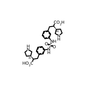 O=C(O)C(Cc1cccc(NS(=O)(=O)Nc2cccc(CC(C(=O)O)[C@H]3CCNC3)c2)c1)[C@H]1CCNC1